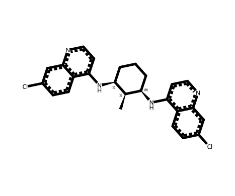 C[C@H]1[C@@H](Nc2ccnc3cc(Cl)ccc23)CCC[C@H]1Nc1ccnc2cc(Cl)ccc12